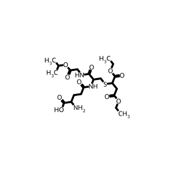 CCOC(=O)CC(SCC(NC(=O)CCC(N)C(=O)O)C(=O)NCC(=O)OC(C)C)C(=O)OCC